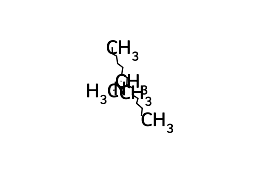 CCCCCCCCCCCCCCC.CN(C)C